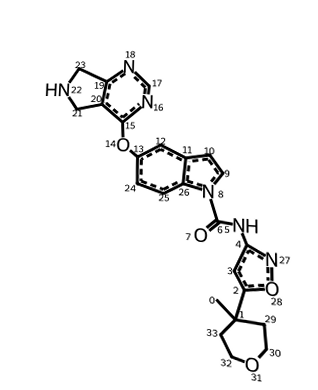 CC1(c2cc(NC(=O)n3ccc4cc(Oc5ncnc6c5CNC6)ccc43)no2)CCOCC1